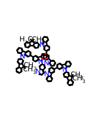 CC1(C)c2ccccc2-c2ccc(-n3c4ccccc4c4ccc(-c5ccc6c(c5)c5ccccc5n6-c5cc6nccc(-n7c8ccccc8c8cc(-c9ccc%10c%11ccccc%11n(-c%11ccc%12c(c%11)C(C)(C)c%11ccccc%11-%12)c%10c9)ccc87)c6cc5-n5c6ccccc6c6cc(-c7ccc8c9ccccc9n(-c9ccc%10c(c9)C(C)(C)c9ccccc9-%10)c8c7)ccc65)cc43)cc21